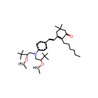 CCCCCCC1=C(C=Cc2ccc(N(CC(O[SiH](C)C)C(C)(C)C)CC(O[SiH](C)C)C(C)(C)C)cc2)CC(C)(C)CC1=O